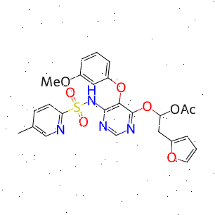 COc1cccc(Oc2c(NS(=O)(=O)c3ccc(C)cn3)ncnc2OC(Cc2ccco2)OC(C)=O)c1